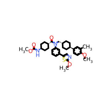 COC(=O)N[C@H]1CC[C@H](C(=O)N(C[C@H]2CC[C@H](c3ccc(OC)c(C)c3)CC2)c2cccc(-c3cnc(OC)s3)c2)CC1